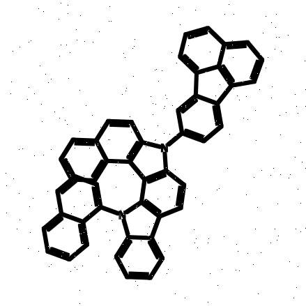 c1ccc2c(-n3c4ccccc4c4ccc5c(c6c7ccccc7ccc6n5-c5ccc6c(c5)-c5cccc7cccc-6c57)c43)cccc2c1